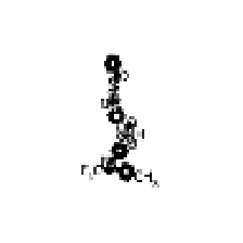 Cc1ccc(-c2cc(C(F)(F)F)nn2-c2ccc(S(=O)(=O)NC(=O)OC3CCN([N+]([O-])=NOCOC(=O)c4ccccc4)CC3)cc2)cc1